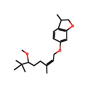 COC(CCC(C)=CCOc1ccc2c(c1)OCC2C)C(C)(C)C